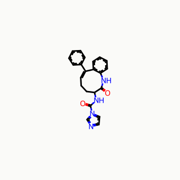 O=C1Nc2ccccc2/C(c2ccccc2)=C\CCC1NC(=O)n1ccnc1